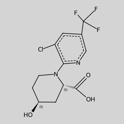 O=C(O)[C@@H]1C[C@@H](O)CCN1c1ncc(C(F)(F)F)cc1Cl